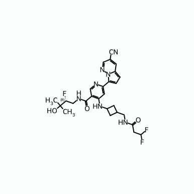 CC(C)(O)[C@H](F)CNC(=O)c1cnc(-c2ccc3cc(C#N)cnn23)cc1NC1CC(CNC(=O)CC(F)F)C1